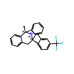 C[C@@]12c3ccccc3C[C@@H](c3ccccc31)[N@@+]2(C)Cc1cccc(C(F)(F)F)c1